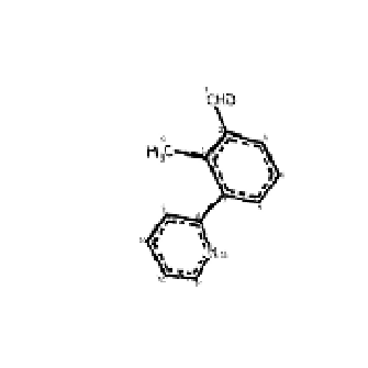 Cc1c(C=O)cccc1-c1ccccn1